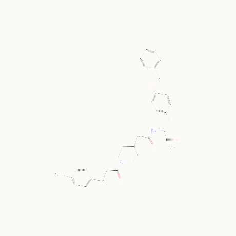 COC(=O)[C@@H](Cc1ccc(OCc2ccccc2)cc1)NC(=O)CC1CCN(C(=O)CCc2ccc(C#N)cc2)CC1